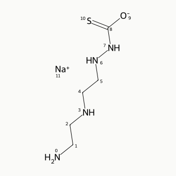 NCCNCCNNC([O-])=S.[Na+]